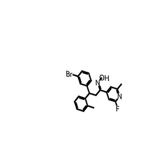 Cc1cc(C(CC(c2cccc(Br)c2)c2ccccc2C)=NO)cc(F)n1